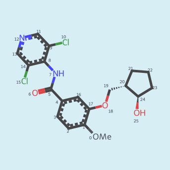 COc1ccc(C(=O)Nc2c(Cl)cncc2Cl)cc1OC[C@@H]1CCC[C@H]1O